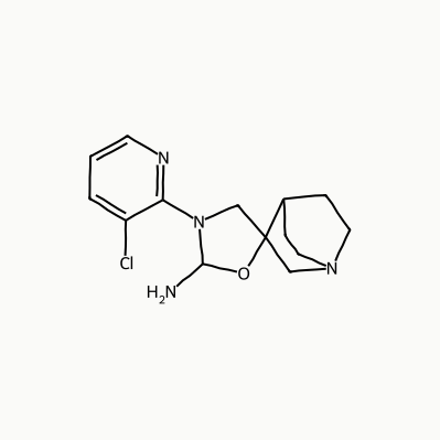 NC1OC2(CN3CCC2CC3)CN1c1ncccc1Cl